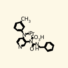 Cc1cccc(N(c2ccncc2N(C(=O)NCc2ccccc2)S(=O)(=O)O)C(C)C)c1